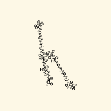 CC(=O)C(C(=O)CCOCCOCCOCCOCCNC(=O)CCN1C(=O)CC(SC[C@H](NC(=O)COCC(=O)Nc2ccc(CCC(=O)N3CCC3=O)cc2)C(=O)NCCOCCOCCOCCOCCC(=O)C(C(C)=O)(C(C)=O)C(C)=O)C1=O)C(C)(C)C(C)=O